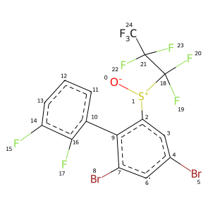 [O-][S+](c1cc(Br)[c]c(Br)c1-c1cccc(F)c1F)C(F)(F)C(F)(F)C(F)(F)F